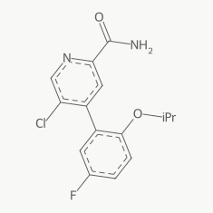 CC(C)Oc1ccc(F)cc1-c1cc(C(N)=O)ncc1Cl